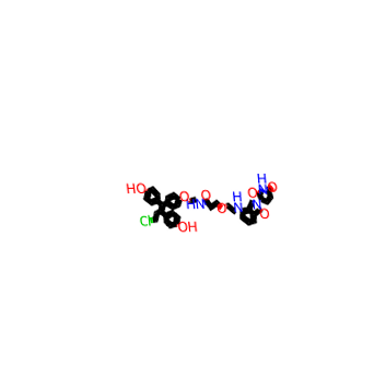 O=C(CCOCCNc1cccc2c1CN(C1CCC(=O)NC1=O)C2=O)NCCOc1ccc(C(=C(CCCl)c2ccc(O)cc2)c2ccc(O)cc2)cc1